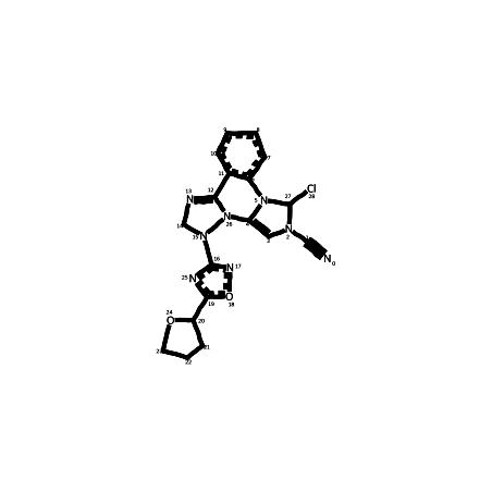 N#CN1C=C2N(c3ccccc3C3=NCN(c4noc(C5CCCO5)n4)N23)C1Cl